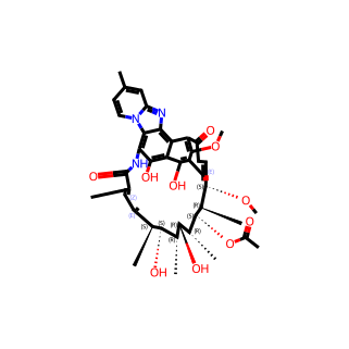 COc1c(C)c(O)c2c(O)c3c4c(nc5cc(C)ccn54)c2c1C(=O)C/C=C/[C@H](OC)[C@@H](C)[C@@H](OC(C)=O)[C@H](C)[C@H](O)[C@H](C)[C@@H](O)[C@@H](C)/C=C/C=C(/C)C(=O)N3